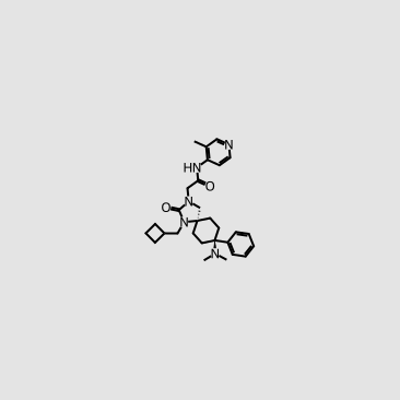 Cc1cnccc1NC(=O)CN1C[C@]2(CC[C@](c3ccccc3)(N(C)C)CC2)N(CC2CCC2)C1=O